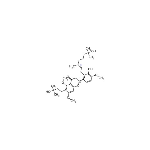 COc1ccc([C@@H]2CC(=O)c3c(cc(OC)c(CCC(C)(C)O)c3OC)O2)c(C/C=C(\C)CCCC(C)(C)O)c1O